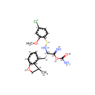 COc1cc(Cl)ccc1SN[C@@H](Cc1cccc2c1C(C)CO2)C(=N)OC(N)=O